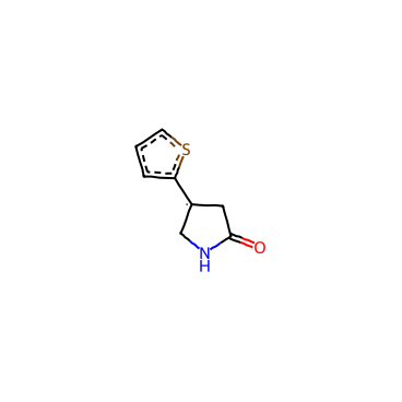 O=C1C[C](c2cccs2)CN1